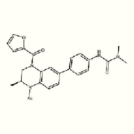 CC(=O)N1c2ccc(-c3ccc(NC(=O)N(C)C)cc3)cc2N(C(=O)c2ccco2)C[C@@H]1C